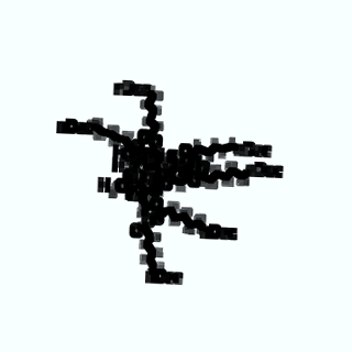 CCCCCCCCCCCCCCCC(=O)OCC(CC(C[N+](C)(C)C)OP(=O)(OC(CC(COC(=O)CCCCCCCCCCCCCCC)OC(=O)CCCCCCCCCCCCCCC)C[N+](C)(C)C)OC(CC(COC(=O)CCCCCCCCCCCCCCC)OC(=O)CCCCCCCCCCCCCCC)C[N+](C)(C)C)OC(=O)CCCCCCCCCCCCCCC